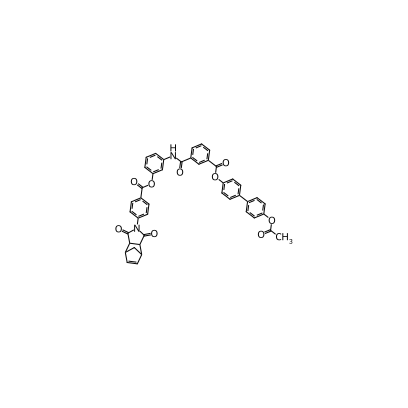 CC(=O)Oc1ccc(-c2ccc(OC(=O)c3cccc(C(=O)Nc4cccc(OC(=O)c5ccc(N6C(=O)C7C8C=CC(C8)C7C6=O)cc5)c4)c3)cc2)cc1